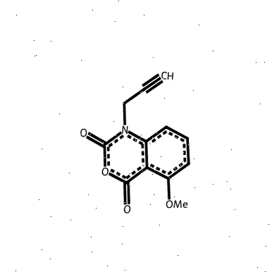 C#CCn1c(=O)oc(=O)c2c(OC)cccc21